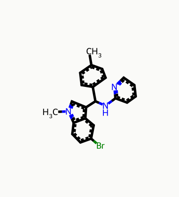 Cc1ccc(C(Nc2ccccn2)c2cn(C)c3ccc(Br)cc23)cc1